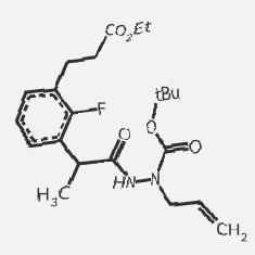 C=CCN(NC(=O)C(C)c1cccc(CCC(=O)OCC)c1F)C(=O)OC(C)(C)C